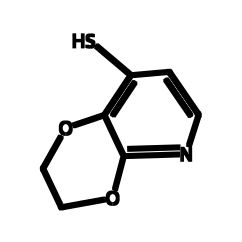 Sc1ccnc2c1OCCO2